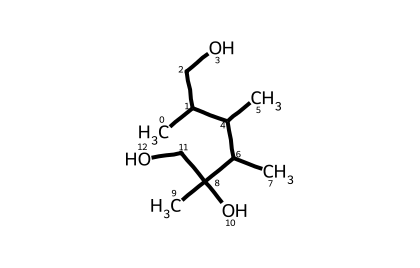 CC(CO)C(C)C(C)C(C)(O)CO